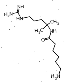 CC(C)(CCCNC(=N)N)NC(=O)CCCCCN